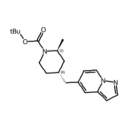 C[C@H]1C[C@H](Cc2ccn3nccc3c2)CCN1C(=O)OC(C)(C)C